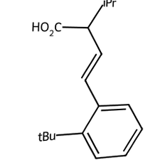 CC(C)C(C=Cc1ccccc1C(C)(C)C)C(=O)O